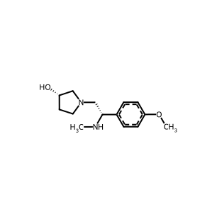 CN[C@H](CN1CC[C@H](O)C1)c1ccc(OC)cc1